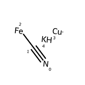 N#[C][Fe].[Cu].[KH]